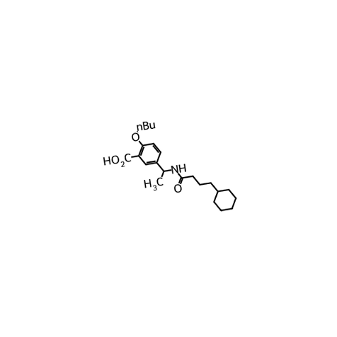 CCCCOc1ccc(C(C)NC(=O)CCCC2CCCCC2)cc1C(=O)O